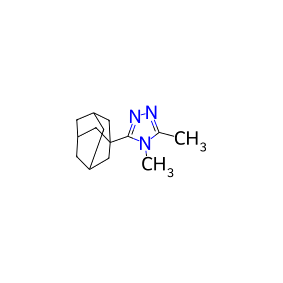 Cc1nnc(C23CC4CC(CC(C4)C2)C3)n1C